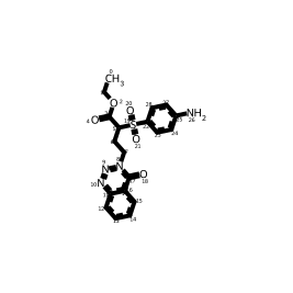 CCOC(=O)C(CCn1nnc2ccccc2c1=O)S(=O)(=O)c1ccc(N)cc1